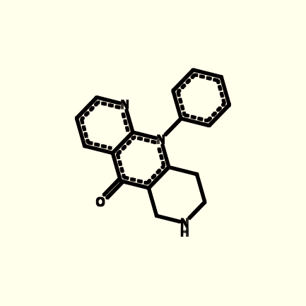 O=c1c2c(n(-c3ccccc3)c3ncccc13)CCNC2